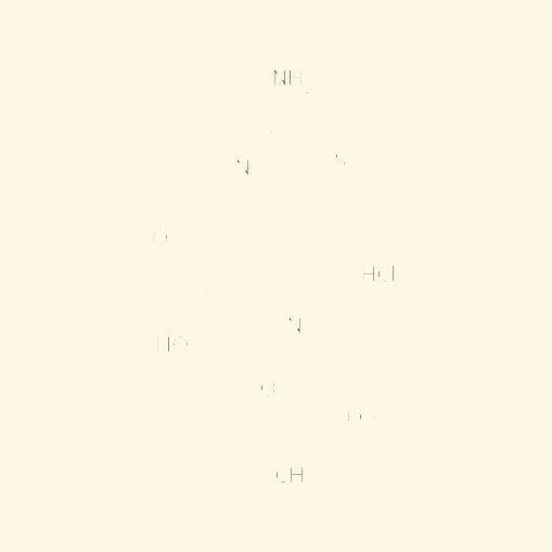 CC(=O)ON=C(C(=O)O)c1csc(N)n1.Cl